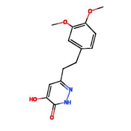 COc1ccc(CCc2cc(O)c(=O)[nH]n2)cc1OC